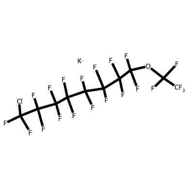 FC(F)(F)C(F)(F)OC(F)(F)C(F)(F)C(F)(F)C(F)(F)C(F)(F)C(F)(F)C(F)(F)C(F)(F)Cl.[K]